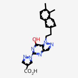 Cc1ccc2cc(CCn3ncc4nc(-n5cc(C(=O)O)cn5)nc(O)c43)ccc2c1C